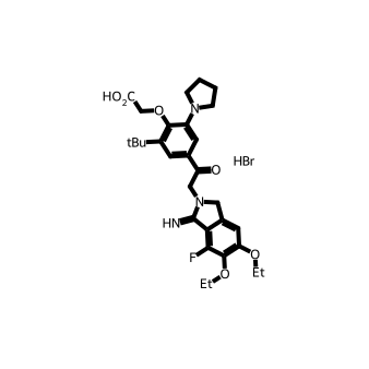 Br.CCOc1cc2c(c(F)c1OCC)C(=N)N(CC(=O)c1cc(N3CCCC3)c(OCC(=O)O)c(C(C)(C)C)c1)C2